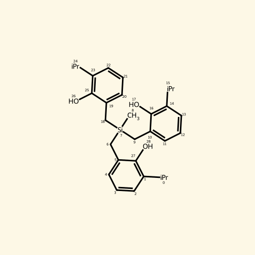 CC(C)c1cccc(C[Si](C)(Cc2cccc(C(C)C)c2O)Cc2cccc(C(C)C)c2O)c1O